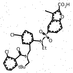 CCN(c1ccc(Cl)cc1CN(CC(C)(C)C)C(=O)c1ccccc1Cl)S(=O)(=O)c1ccc2oc(C(=O)O)c(C)c2c1